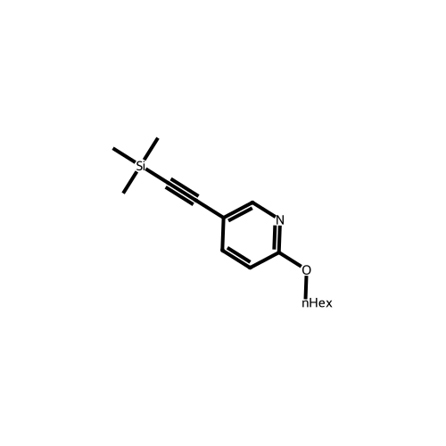 CCCCCCOc1ccc(C#C[Si](C)(C)C)cn1